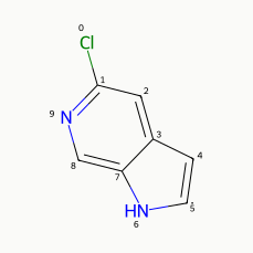 Clc1cc2c[c][nH]c2cn1